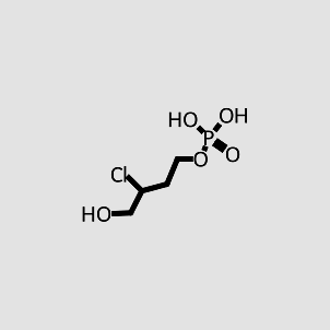 O=P(O)(O)OCCC(Cl)CO